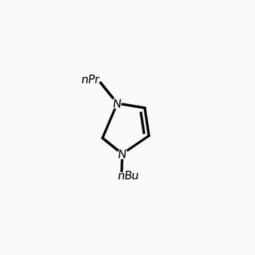 CCCCN1C=CN(CCC)C1